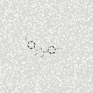 NCc1ccc(C(CF)C(=O)C(CF)c2ccc(CN)cc2)cc1